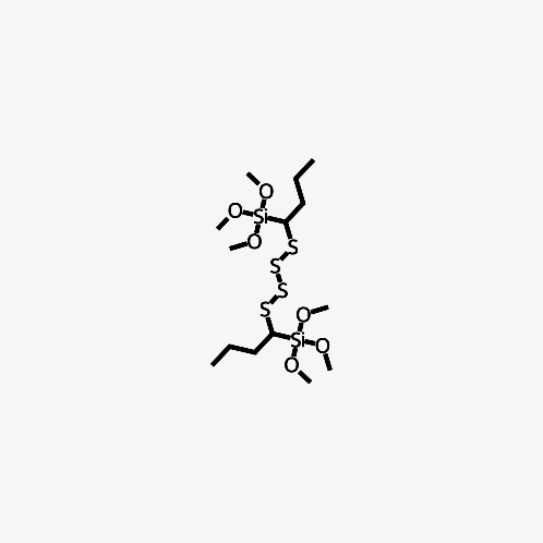 CCCC(SSSSC(CCC)[Si](OC)(OC)OC)[Si](OC)(OC)OC